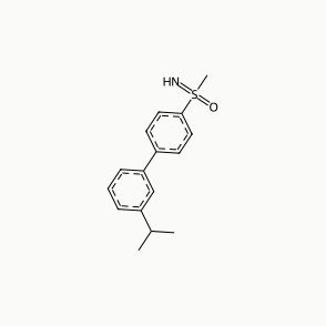 CC(C)c1cccc(-c2ccc(S(C)(=N)=O)cc2)c1